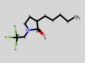 CCCCCC1CCN(CC(F)(F)F)C1=O